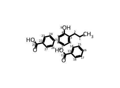 CCCc1ccccc1O.O=C(O)c1ccccc1.O=C(O)c1ccccc1